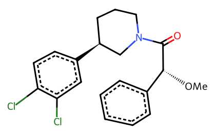 CO[C@@H](C(=O)N1CCC[C@H](c2ccc(Cl)c(Cl)c2)C1)c1ccccc1